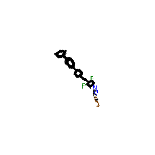 Fc1cc(N=C=S)cc(F)c1C#Cc1ccc(-c2ccc(C3=CCCC3)cc2)cc1